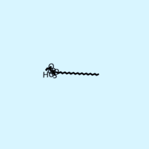 C=CC(=O)OOP(O)(=S)OCCCCCCCCCCCCCCCCCCCC